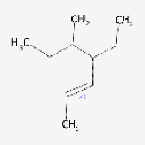 [CH2]C(CC)C(/C=C/C)CC